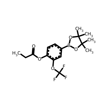 CCC(=O)Oc1ccc(B2OC(C)(C)C(C)(C)O2)cc1OC(F)(F)F